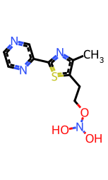 Cc1nc(-c2cnccn2)sc1CCON(O)O